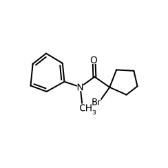 CN(C(=O)C1(Br)CCCC1)c1ccccc1